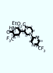 CCOC(=O)N1CCN(c2cnc(C(F)(F)F)cn2)CC1c1c[nH]c(=O)c(C(F)(F)F)c1